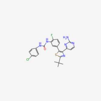 CC(C)(C)c1nc(-c2ccnc(N)n2)c(-c2ccc(F)c(NC(=O)Nc3ccc(Cl)cc3)c2)s1